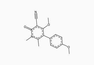 COc1ccc(-c2c(OC)c(C#N)c(=O)n(C)c2C)cc1